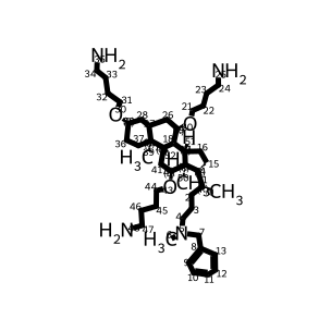 C[C@H](CCCN(C)Cc1ccccc1)[C@H]1CC[C@H]2C3[C@H](OCCCCN)CC4C[C@H](OCCCCN)CC[C@]4(C)[C@H]3C[C@H](OCCCCN)[C@]12C